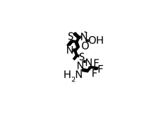 CC(Sc1nc(N)cc(C(F)(F)F)n1)c1cc2c(N(C)C(=O)O)csc2cn1